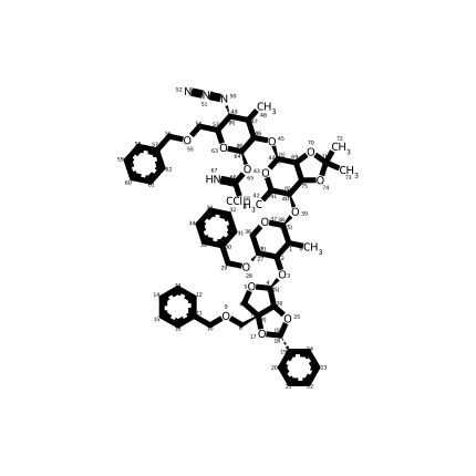 CC1C(O[C@@H]2OC[C@@]3(COCc4ccccc4)O[C@@H](c4ccccc4)OC23)[C@H](OCc2ccccc2)CO[C@H]1O[C@H]1C(C)O[C@@H](OC2C(C)[C@@H](N=[N+]=[N-])C(COCc3ccccc3)O[C@@H]2OC(=N)C(Cl)(Cl)Cl)C2OC(C)(C)OC21